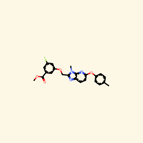 COC(=O)c1cc(F)cc(OCc2nc3ccc(Oc4ccc(C)cc4)nc3n2C)c1